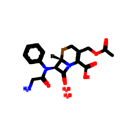 CC(=O)OCC1=C(C(=O)O)N2C(=O)[C@@H](N(C(=O)CN)c3ccccc3)[C@H]2SC1.O.O